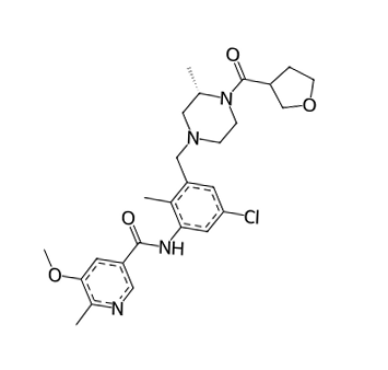 COc1cc(C(=O)Nc2cc(Cl)cc(CN3CCN(C(=O)C4CCOC4)[C@@H](C)C3)c2C)cnc1C